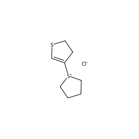 C1=C([S+]2CCCC2)CCS1.[Cl-]